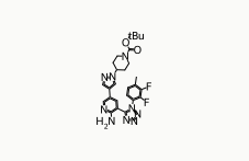 Cc1ccc(-n2nnnc2-c2cc(-c3cnn(C4CCN(C(=O)OC(C)(C)C)CC4)c3)cnc2N)c(F)c1F